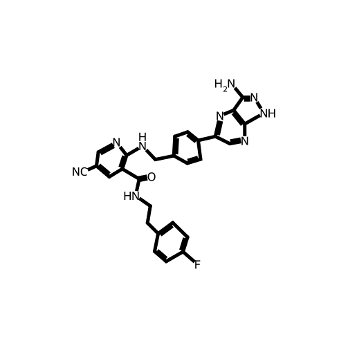 N#Cc1cnc(NCc2ccc(-c3cnc4[nH]nc(N)c4n3)cc2)c(C(=O)NCCc2ccc(F)cc2)c1